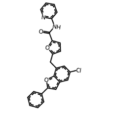 O=C(Nc1ccccn1)c1ccc(Cc2cc(Cl)cc3cc(-c4ccccc4)oc23)o1